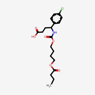 CCCC(=O)OCCCCOC(=O)NC(CCC(=O)O)c1ccc(Cl)cc1